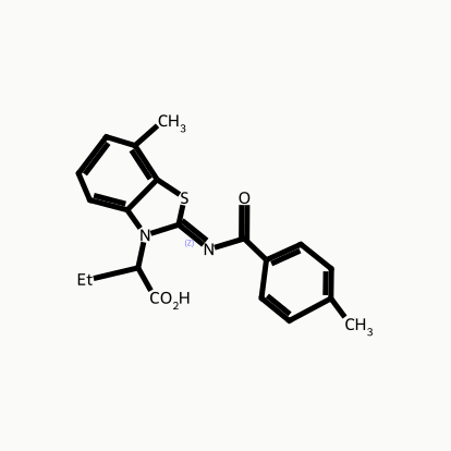 CCC(C(=O)O)n1/c(=N/C(=O)c2ccc(C)cc2)sc2c(C)cccc21